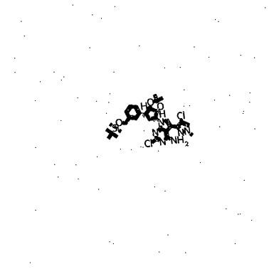 Cn1cc(Cl)c(-c2cn([C@@H]3C[C@H](c4cccc(CO[Si](C)(C)C(C)(C)C)c4)[C@H]4OC(C)(C)O[C@H]43)c3nc(Cl)nc(N)c23)n1